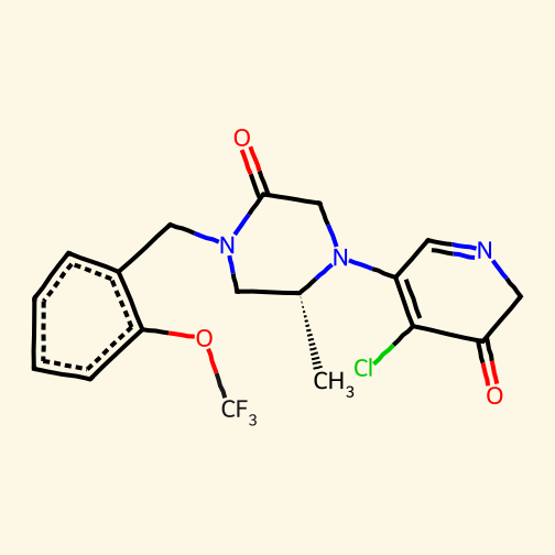 C[C@@H]1CN(Cc2ccccc2OC(F)(F)F)C(=O)CN1C1=C(Cl)C(=O)CN=C1